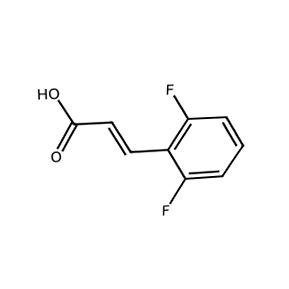 O=C(O)/C=C/c1c(F)cccc1F